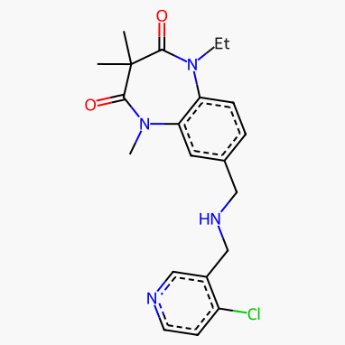 CCN1C(=O)C(C)(C)C(=O)N(C)c2cc(CNCc3cnccc3Cl)ccc21